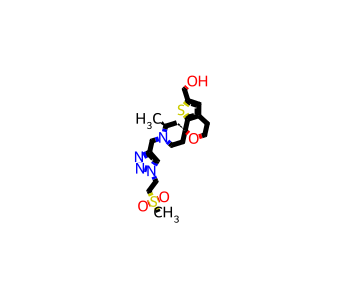 C[C@H]1C[C@@]2(CCN1Cc1cn(CCS(C)(=O)=O)nn1)OCCc1cc(CO)sc12